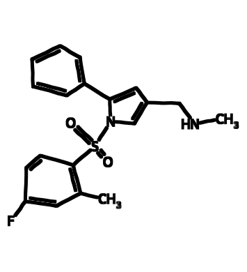 CNCc1cc(-c2ccccc2)n(S(=O)(=O)c2ccc(F)cc2C)c1